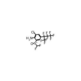 Nc1c(Cl)cc(C(F)(C(F)(F)F)C(F)(F)C(F)(F)F)cc1[S+]([O-])C(F)F